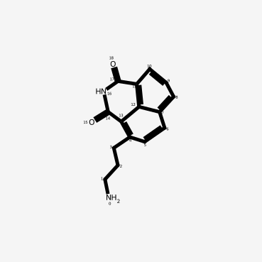 NCCCc1ccc2cccc3c2c1C(=O)NC3=O